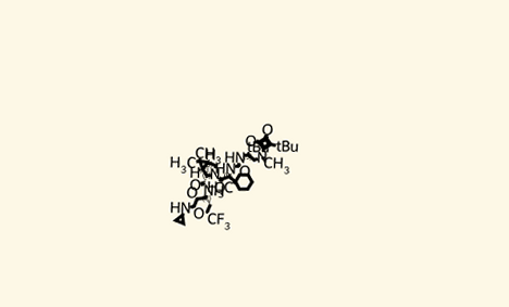 CN(C[C@@H](NC(=O)N[C@H](C(=O)N1C[C@H]2[C@@H]([C@H]1C(=O)N[C@H](CCC(F)(F)F)C(=O)C(=O)NC1CC1)C2(C)C)C1(C)CCCCC1)C(C)(C)C)c1c(C(C)(C)C)c(=O)c1=O